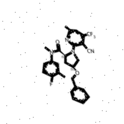 Cc1cc(C(F)(F)F)c(C#N)c(N2C[C@@H](OCc3ccccc3)C[C@H]2C(=O)N(C)c2ccc(F)c(C)c2)n1